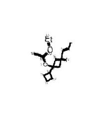 CC=CC1(I)CC(OC(C)OCC)(C2CCC2)C1